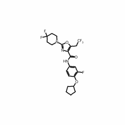 O=C(Nc1ccc(OC2CCCC2)c(F)c1)c1nc(N2CCC(F)(F)CC2)oc1CC(F)(F)F